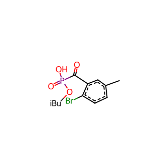 CCC(C)OP(=O)(O)C(=O)c1cc(C)ccc1Br